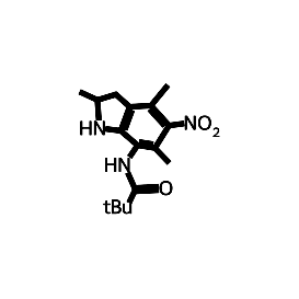 Cc1c2c(c(NC(=O)C(C)(C)C)c(C)c1[N+](=O)[O-])NC(C)C2